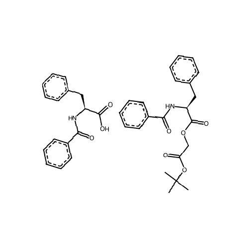 CC(C)(C)OC(=O)COC(=O)[C@H](Cc1ccccc1)NC(=O)c1ccccc1.O=C(N[C@@H](Cc1ccccc1)C(=O)O)c1ccccc1